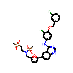 CS(=O)(=O)CCN(Cc1ccc(-c2ccc3ncnc(Nc4ccc(OCc5cccc(F)c5)c(Cl)c4)c3c2)o1)S(C)(=O)=O